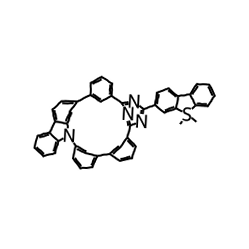 CS1(C)c2ccccc2-c2ccc(-c3nc4nc(n3)-c3cccc(c3)-c3ccc5c6ccccc6n(c5c3)-c3cccc(c3)-c3cccc-4c3)cc21